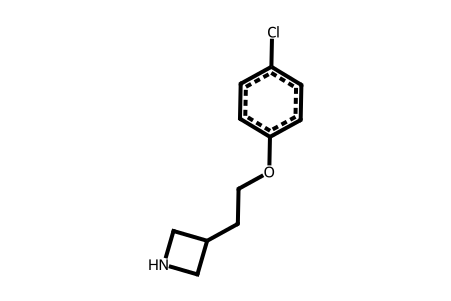 Clc1ccc(OCCC2CNC2)cc1